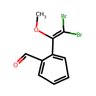 COC(=C(Br)Br)c1ccccc1C=O